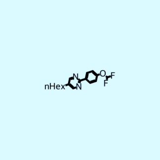 CCCCCCc1cnc(-c2ccc(OC(F)F)cc2)nc1